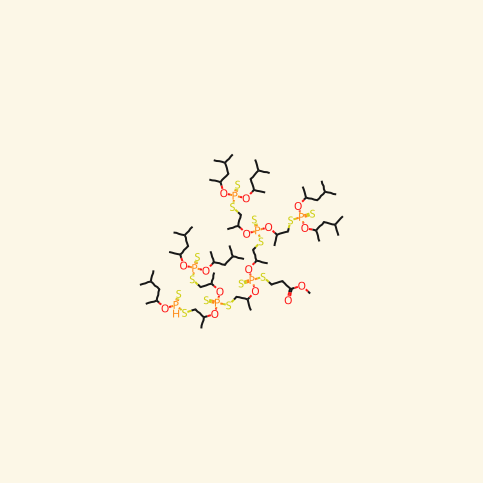 COC(=O)CCSP(=S)(OC(C)CSP(=S)(OC(C)CS[PH](=S)OC(C)CC(C)C)OC(C)CSP(=S)(OC(C)CC(C)C)OC(C)CC(C)C)OC(C)CSP(=S)(OC(C)CSP(=S)(OC(C)CC(C)C)OC(C)CC(C)C)OC(C)CSP(=S)(OC(C)CC(C)C)OC(C)CC(C)C